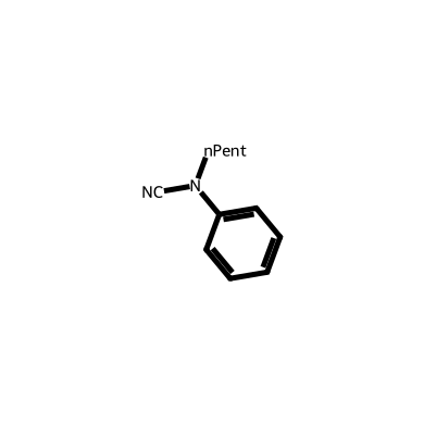 CCCCCN(C#N)c1ccccc1